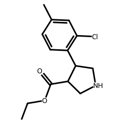 CCOC(=O)C1CNCC1c1ccc(C)cc1Cl